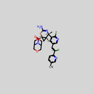 C[C@]1(c2cc(/C=C(\F)c3ccc(C#N)cn3)cnc2F)N=C(N)S[C@@]2(C(=O)N3C4COCC3COC4)C[C@H]21